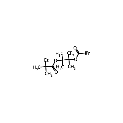 CCC(C)(C)C(=O)OC(C)(C)C(C)(OC(=O)C(C)C)C(F)(F)F